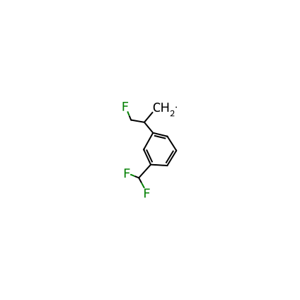 [CH2]C(CF)c1cccc(C(F)F)c1